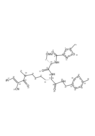 COC[C@H](NC(=O)c1cc(C)on1)C(=O)N[C@@H](CCCCN(C)C(=O)C(C#N)=CC(C)C)C(=O)NCc1ccc(C)cc1